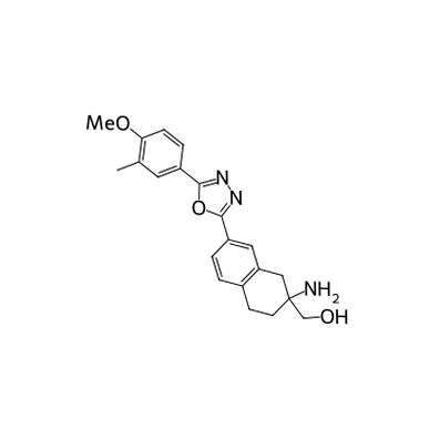 COc1ccc(-c2nnc(-c3ccc4c(c3)CC(N)(CO)CC4)o2)cc1C